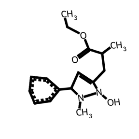 CCOC(=O)C(C)CC1=CC(c2ccccc2)N(C)N1O